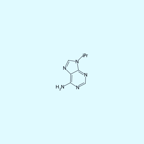 CC(C)n1cnc2c(N)ncnc21